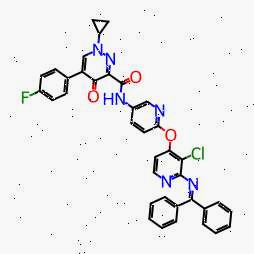 O=C(Nc1ccc(Oc2ccnc(N=C(c3ccccc3)c3ccccc3)c2Cl)nc1)c1nn(C2CC2)cc(-c2ccc(F)cc2)c1=O